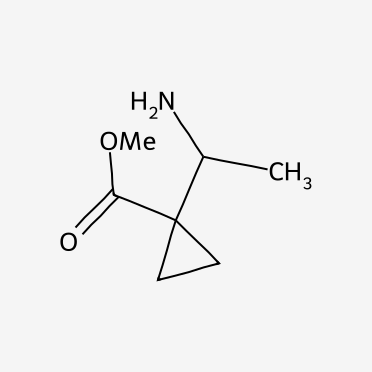 COC(=O)C1(C(C)N)CC1